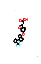 O=C(O)C[C@@H]1COc2cc(O[C@@H]3CCc4c(-c5ccccc5C(F)(F)F)cccc43)ccc21